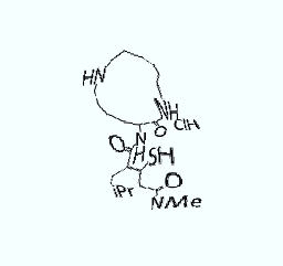 CNC(=O)CC(S)C(CC(C)C)C(=O)NC1CCCCNCCCCCCNC1=O.Cl